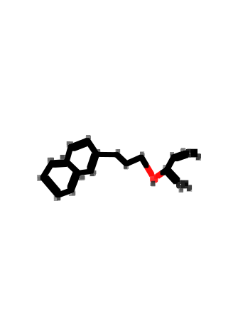 C=CC(=C)OCCCc1ccc2ccccc2c1